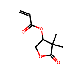 C=CC(=O)OC1COC(=O)C1(C)C